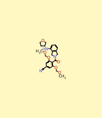 COCOc1cc(C#N)cc(OCOC)c1C(=O)N1Cc2cccc(N[C@@H]3CCOC3)c2C1